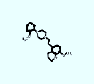 COc1ccccc1N1CCN(CCc2ccc(OC)c3c2CCCN3)CC1